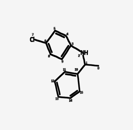 CC(Nc1ccc(Cl)cc1)c1ccccc1